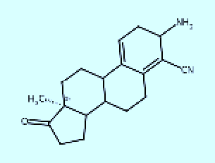 C[C@]12CCC3C4=CCC(N)C(C#N)=C4CCC3C1CCC2=O